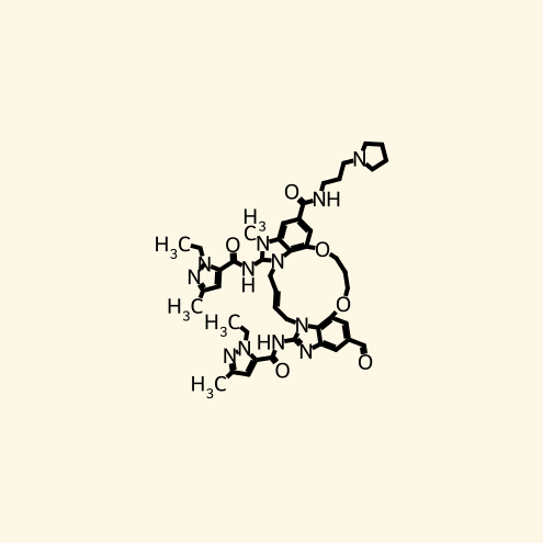 CCn1nc(C)cc1C(=O)Nc1nc2cc(C=O)cc3c2n1C/C=C/CN1c2c(cc(C(=O)NCCCN4CCCC4)cc2N(C)C1NC(=O)c1cc(C)nn1CC)OCCCO3